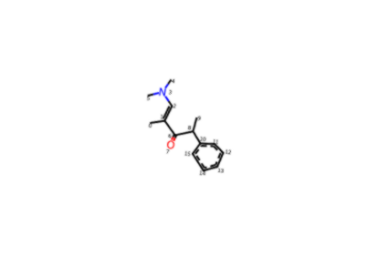 CC(=CN(C)C)C(=O)C(C)c1ccccc1